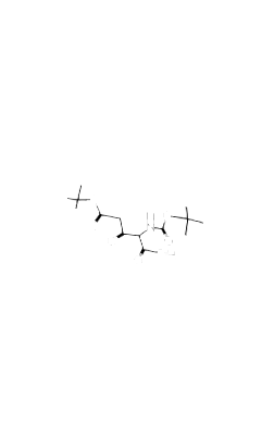 CC(C)(C)OC(=O)CC(=O)C(NC(=O)OC(C)(C)C)C(=O)O